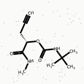 C#CC[C@H](OC(=O)NC(C)(C)C)C(=O)NC